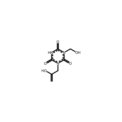 C=C(O)Cn1c(=O)[nH]c(=O)n(CO)c1=O